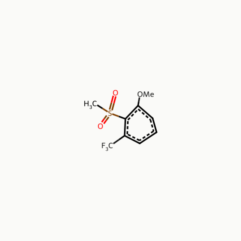 COc1cccc(C(F)(F)F)c1S(C)(=O)=O